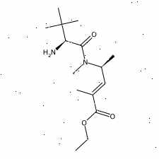 CCOC(=O)/C(C)=C/[C@H](C)N(C)C(=O)[C@@H](N)C(C)(C)C